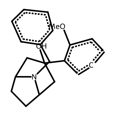 COc1ccccc1C1(O)CC2CCC(C1)N2Cc1ccccc1